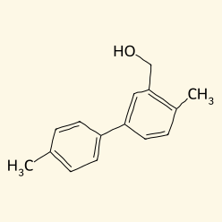 Cc1ccc(-c2ccc(C)c(CO)c2)cc1